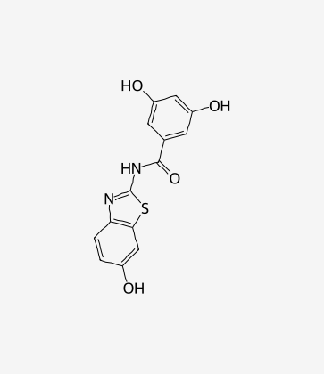 O=C(Nc1nc2ccc(O)cc2s1)c1cc(O)cc(O)c1